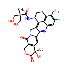 CC[C@@]1(O)C(=O)OCc2c1cc1n(c2=O)Cc2c-1nc1cc(F)c(C)c3c1c2[C@@H](NC(=O)C(C)(CO)CO)CC3